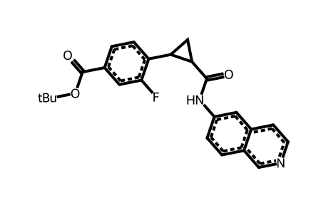 CC(C)(C)OC(=O)c1ccc(C2CC2C(=O)Nc2ccc3cnccc3c2)c(F)c1